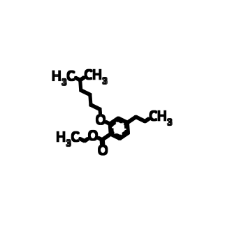 CCCc1ccc(C(=O)OCC)c(OCCCCC(C)C)c1